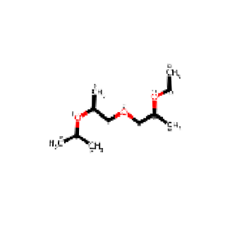 [CH2]C(C)OC(C)COCC(C)OCC